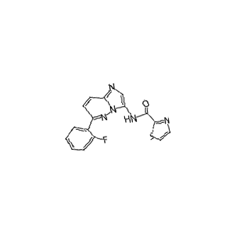 O=C(Nc1cnc2ccc(-c3ccccc3F)nn12)c1nccs1